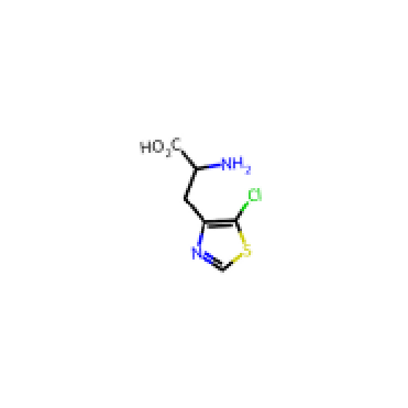 NC(Cc1ncsc1Cl)C(=O)O